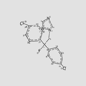 FC(Cn1cncn1)(c1ccc(Cl)cc1)c1ccc(Cl)cc1